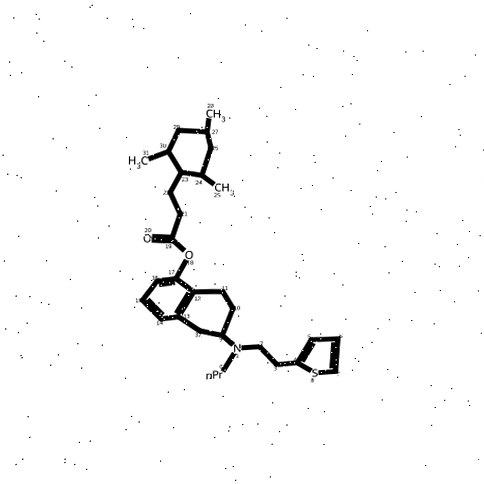 CCCN(CCc1cccs1)C1CCc2c(cccc2OC(=O)CCC2C(C)CC(C)CC2C)C1